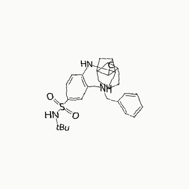 CC(C)(C)NS(=O)(=O)c1ccc(NC2C3CC4CC5(C3)CC2CC45)c(NCc2ccccc2)c1